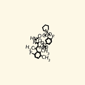 Cc1ccc(F)c([C@@H](C)[C@H](NS(=O)(=O)c2ccc(F)c(S(=O)(=O)N3CCCCC3)c2)c2n[nH]c(=O)o2)c1C